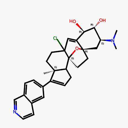 CN(C)[C@H]1C[C@@]23CC[C@]4(O2)C2CC=C(c5ccc6cnccc6c5)[C@@]2(C)CCC4(Cl)C=C3[C@@H](O)[C@@H]1O